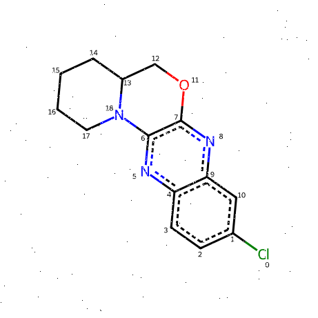 Clc1ccc2nc3c(nc2c1)OCC1CCCCN31